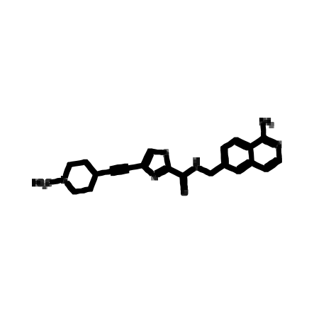 Nc1nccc2cc(CNC(=O)c3nc(C#CC4CCN(C(=O)O)CC4)cs3)ccc12